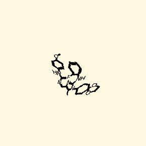 C=C(/N=C\c1nc(Nc2ccccc2F)n(C2CCC3(CC2)OCCO3)c1C)Nc1ccc(OC)cc1